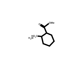 COC(=O)C1CCCCC1C(=O)O.[AlH3]